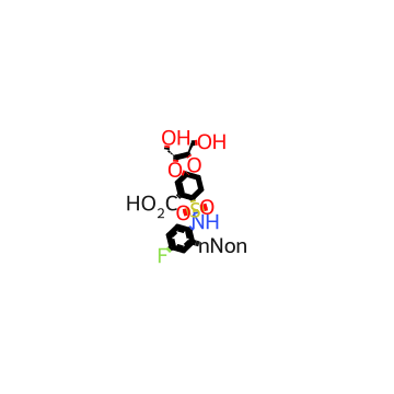 CCCCCCCCCc1cc(F)ccc1NS(=O)(=O)C1CCC2(C=C1C(=O)O)O[C@H](CO)[C@@H](CO)O2